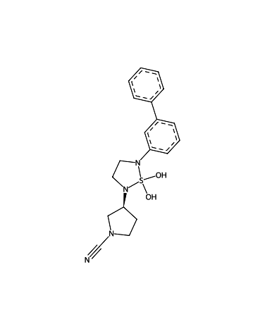 N#CN1CC[C@H](N2CCN(c3cccc(-c4ccccc4)c3)S2(O)O)C1